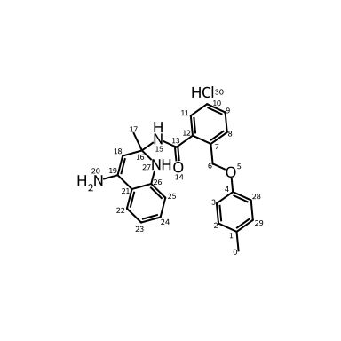 Cc1ccc(OCc2ccccc2C(=O)NC2(C)C=C(N)c3ccccc3N2)cc1.Cl